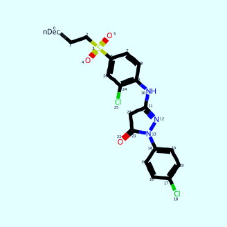 CCCCCCCCCCCCS(=O)(=O)c1ccc(NC2=NN(c3ccc(Cl)cc3)C(=O)C2)c(Cl)c1